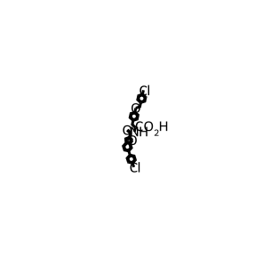 O=C(NC(Cc1ccc(OCc2ccc(Cl)cc2)cc1)C(=O)O)c1cc2ccc(-c3ccc(Cl)cc3)cc2o1